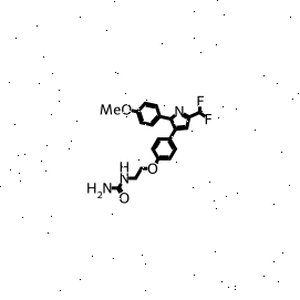 COc1ccc(C2N=C(C(F)F)C=C2c2ccc(OCCNC(N)=O)cc2)cc1